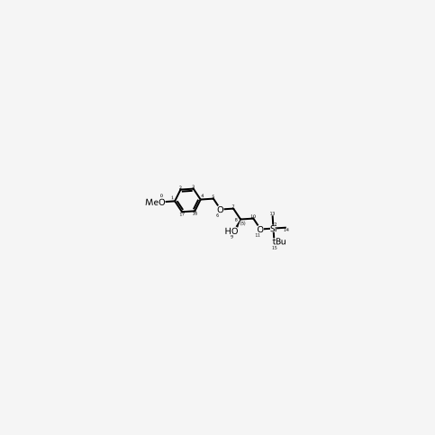 COc1ccc(COC[C@H](O)CO[Si](C)(C)C(C)(C)C)cc1